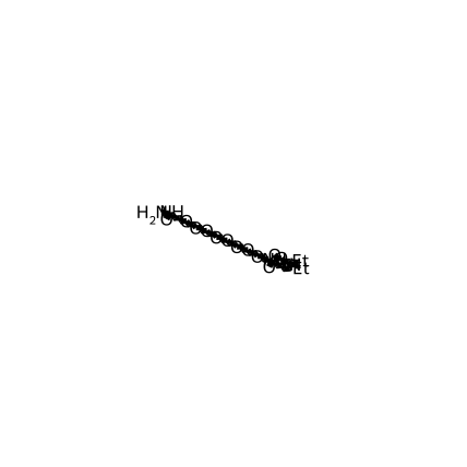 CCN(CC)c1ccc2cc(C(=O)NCCOCCOCCOCCOCCOCCOCCOCCOCCCCC(=O)NN)c(=O)oc2c1